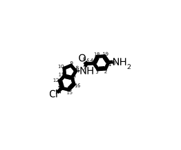 Nc1ccc(C(=O)N[C@H]2CCc3cc(Cl)ccc32)cc1